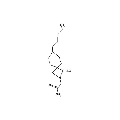 CCCCCC1CCC2(CC1)CN(CC(N)=O)C2=O